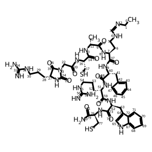 CC/N=C\NCC[C@H](NC(=O)[C@@H](C)NC(=O)[C@H](CS)NC(=O)CN1C(=O)N[C@H](CCCNC(=N)N)C1=O)C(=O)N[C@H](Cc1ccccc1)C(=O)N[C@@H](CCCNC(=N)N)C(=O)N[C@@H](Cc1c[nH]c2ccccc12)C(=O)N[C@@H](CS)C(N)=O